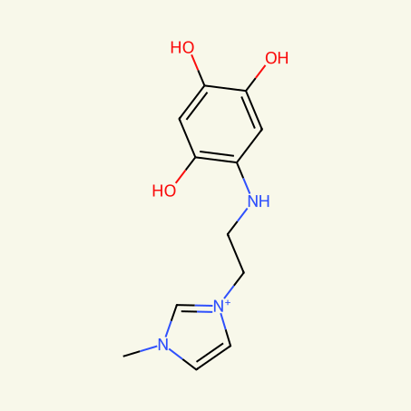 Cn1cc[n+](CCNc2cc(O)c(O)cc2O)c1